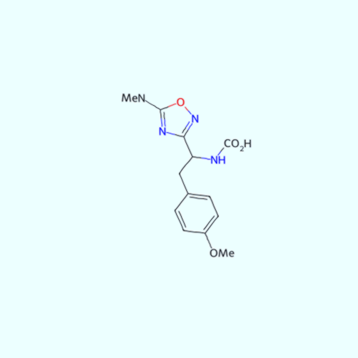 CNc1nc(C(Cc2ccc(OC)cc2)NC(=O)O)no1